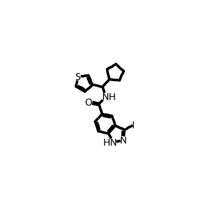 O=C(NC(c1ccsc1)C1CCCC1)c1ccc2[nH]nc(I)c2c1